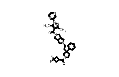 Cc1nn(-c2cnccn2)c(C)c1C(=O)N1CC2=CN(CCC3(c4ccccc4)CCN(C(=O)C4CC(F)(F)C4)C3)CC2C1